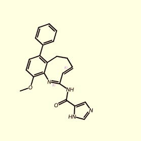 COc1ccc(-c2ccccc2)c2c1/N=C(NC(=O)c1cnc[nH]1)\C=C\CC2